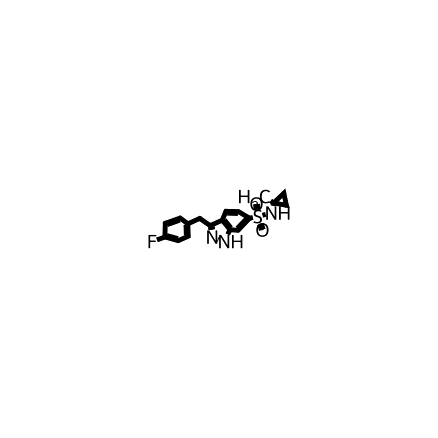 CC1(NS(=O)(=O)c2ccc3c(Cc4ccc(F)cc4)n[nH]c3c2)CC1